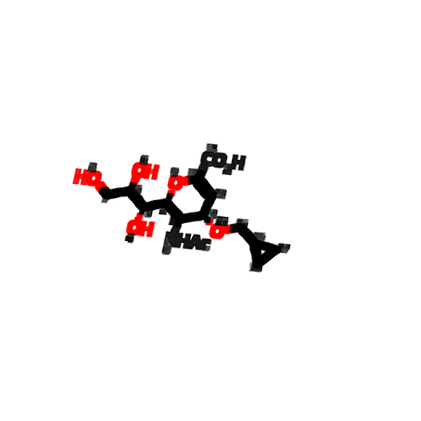 CC(=O)N[C@H]1[C@H]([C@H](O)[C@H](O)CO)OC(C(=O)O)=C[C@@H]1OCC1CC1